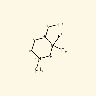 CN1CCC(CI)C(F)(F)C1